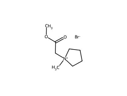 COC(=O)C[N+]1(C)CCCC1.[Br-]